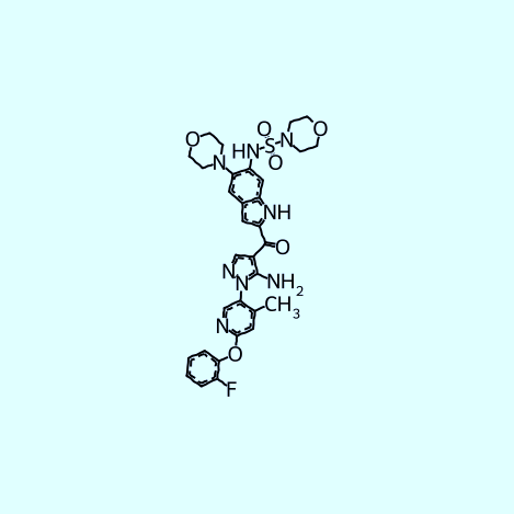 Cc1cc(Oc2ccccc2F)ncc1-n1ncc(C(=O)c2cc3cc(N4CCOCC4)c(NS(=O)(=O)N4CCOCC4)cc3[nH]2)c1N